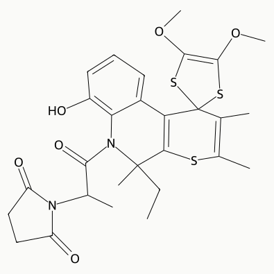 CCC1(C)C2=C(c3cccc(O)c3N1C(=O)C(C)N1C(=O)CCC1=O)C1(SC(OC)=C(OC)S1)C(C)=C(C)S2